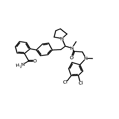 CN(CC(=O)N(C)C(Cc1ccc(-c2ccccc2C(N)=O)cc1)N1CCCC1)c1ccc(Cl)c(Cl)c1